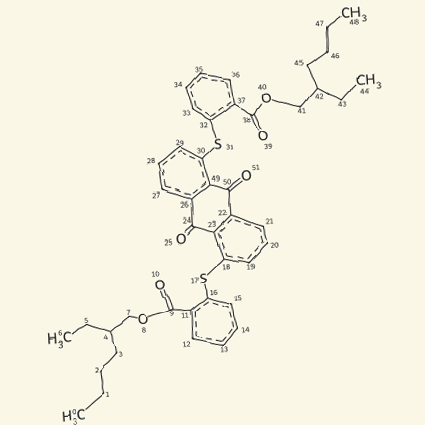 CCCCC(CC)COC(=O)c1ccccc1Sc1cccc2c1C(=O)c1cccc(Sc3ccccc3C(=O)OCC(CC)CCCC)c1C2=O